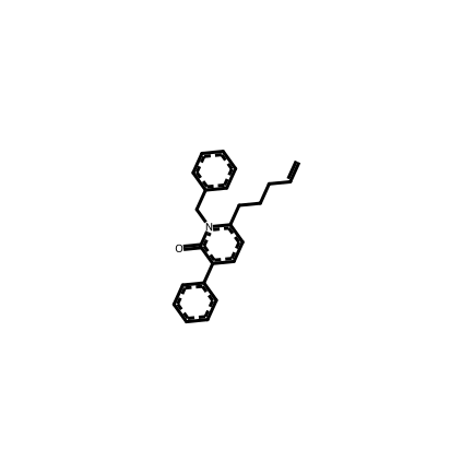 C=CCCCc1ccc(-c2ccccc2)c(=O)n1Cc1ccccc1